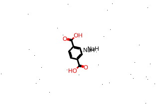 O=C(O)c1ccc(C(=O)O)cc1.[NaH].[NaH]